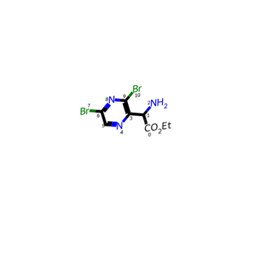 CCOC(=O)C(N)c1ncc(Br)nc1Br